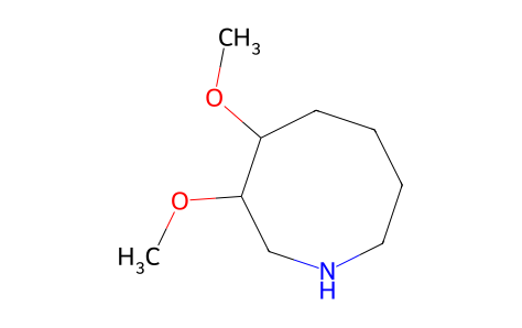 COC1CCCCNCC1OC